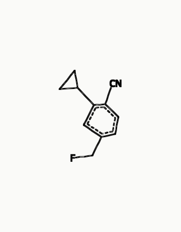 N#Cc1ccc(CF)cc1C1CC1